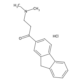 CN(C)CCC(=O)c1ccc2c(c1)Cc1ccccc1-2.Cl